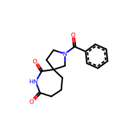 O=C1CCCC2(CCN(C(=O)c3ccccc3)C2)C(=O)N1